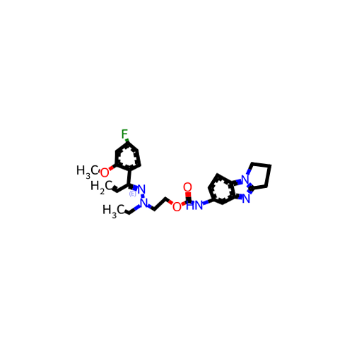 C=C/C(=N\N(CC)CCOC(=O)Nc1ccc2c(c1)nc1n2CCC1)c1ccc(F)cc1OC